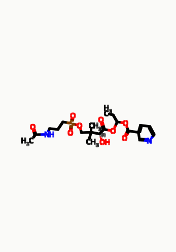 CCC(OC(=O)c1cccnc1)OC(=O)[C@H](O)C(C)(C)COS(=O)(=O)CCCNC(C)=O